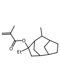 C=C(C)C(=O)OC1(CC)CC2CC1C(C)C1CCC2C1